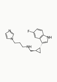 Fc1ccc2[nH]cc([C@@H]3C[C@H]3CNCCCn3ccnc3)c2c1